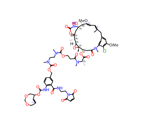 COc1cc2cc(c1Cl)N(C)C(=O)C[C@H](OC(=O)[C@H](C)N(C)C(=O)CCOC(=O)N(C)CCN(C)C(=O)OCc1ccc(NC(=O)OC3/C=C/COCOC3)c(C(=O)NCCN3C(=O)C=CC3=O)c1)[C@]1(C)O[C@H]1[C@H](C)[C@@H]1C[C@@](O)(NC(=O)O1)[C@H](OC)/C=C/C=C(\C)C2